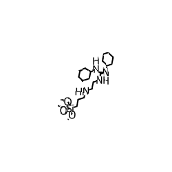 CO[Si](CCCNCCNC(=NC1CCCCC1)NC1CCCCC1)(OC)OC